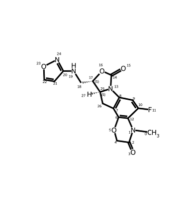 CN1C(=O)COc2c3c(cc(F)c21)N1C(=O)O[C@@H](CNc2ccon2)[C@@H]1C3